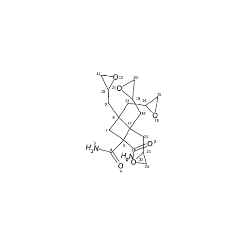 NC(=O)C1(C(N)=O)CC(CC2CO2)(CC2CO2)C1(CC1CO1)CC1CO1